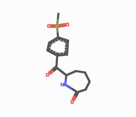 CS(=O)(=O)c1ccc(C(=O)C2CCCCC(=O)N2)cc1